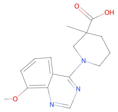 COc1cccc2c(N3CCCC(C)(C(=O)O)C3)ncnc12